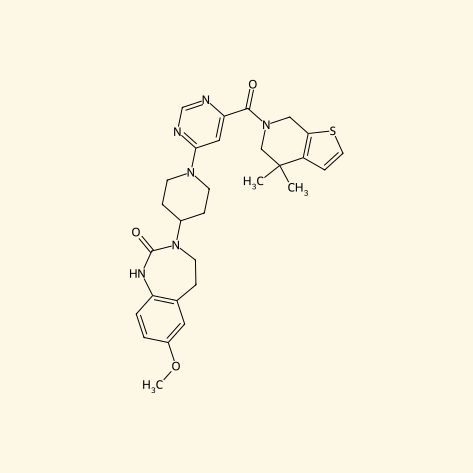 COc1ccc2c(c1)CCN(C1CCN(c3cc(C(=O)N4Cc5sccc5C(C)(C)C4)ncn3)CC1)C(=O)N2